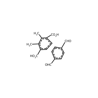 Cc1c(C(=O)O)ccc(C(=O)O)c1C.O=Cc1ccc(C=O)cc1